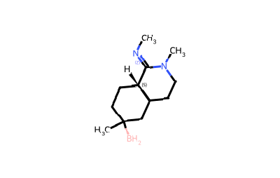 BC1(C)CC[C@@H]2/C(=N/C)N(C)CCC2C1